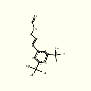 O=[C]OCC=Cc1cc(C(F)(F)F)cc(C(F)(F)F)c1